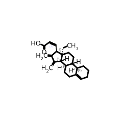 C=C1C(=C)[C@H]2[C@@H]3CCC4=CCCC[C@@H]4[C@H]3CC[C@]2(CC)[C@@H]1/C=C\C(=O)O